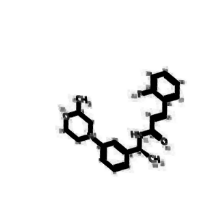 CC1CN(c2cccc([C@H](C)NC(=O)C=Cc3ccccc3F)c2)CCO1